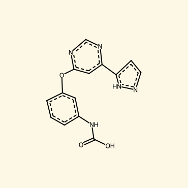 O=C(O)Nc1cccc(Oc2cc(-c3ccn[nH]3)ncn2)c1